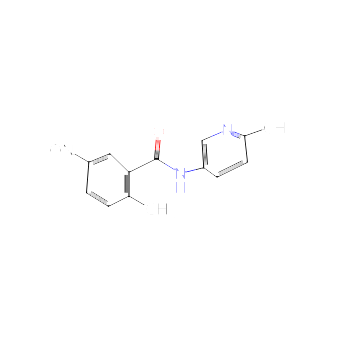 Cc1ccc(NC(=O)c2cc(N=O)ccc2C)cn1